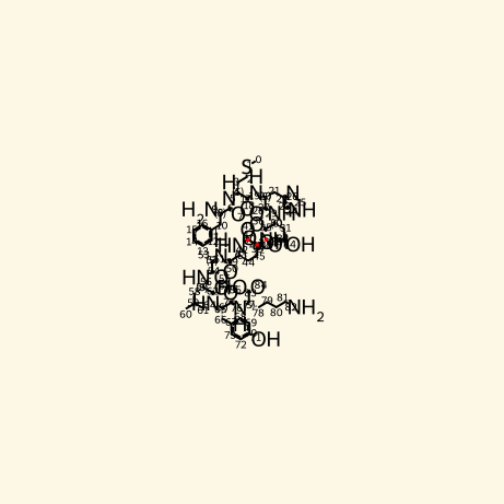 CSCC[C@H](NC(=O)[C@@H](N)Cc1ccccc1)C(=O)N[C@@H](Cc1c[nH]cn1)C(=O)N[C@@H](CC(=O)O)C(=O)N[C@@H](C)C(=O)N[C@@H](CCC(=O)O)C(=O)N[C@@H](C)C(=O)N[C@@H](CC(C)C)C(=O)N[C@@H](Cc1ccc(O)cc1)C(=O)N[C@@H](CCCCN)C(=O)O